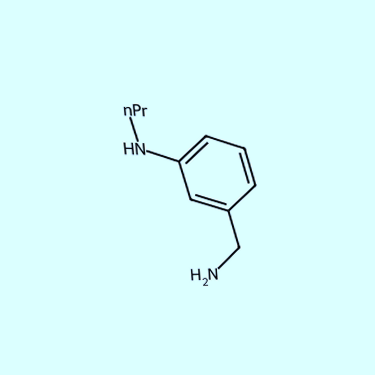 CCCNc1cccc(CN)c1